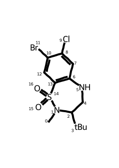 CN1C(C(C)(C)C)CNc2cc(Cl)c(Br)cc2S1(=O)=O